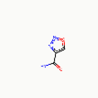 [NH]C(=O)c1conn1